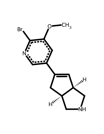 COc1cc(C2=C[C@H]3CNC[C@H]3C2)cnc1Br